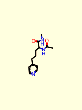 CNC(=O)C(CCCc1ccncc1)NC(C)=O